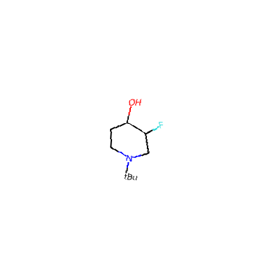 CC(C)(C)N1CCC(O)C(F)C1